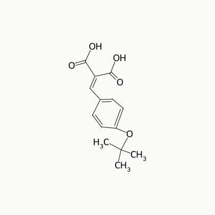 CC(C)(C)Oc1ccc(C=C(C(=O)O)C(=O)O)cc1